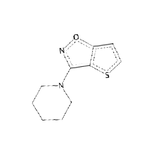 c1cc2onc(N3CCCCC3)c2s1